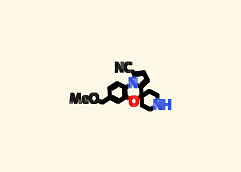 COCc1ccc2c(c1)OC1(CCNCC1)c1ccc(C#N)n1-2